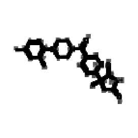 Cc1cnc(N2CCN(C(=O)c3ccc(C4(C)CC(=O)NC4=O)nc3)CC2)c(C)c1